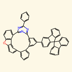 c1ccc(-c2nc3nc(n2)c2cccc4oc5ccc(cc5c42)c2ccccc2c2cc(-c4ccc5c(c4)-c4ccccc4C54c5ccccc5-c5ccccc54)cc3c2)cc1